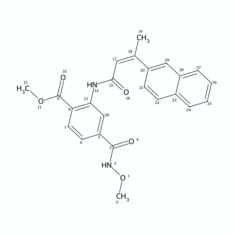 CONC(=O)c1ccc(C(=O)OC)c(NC(=O)/C=C(/C)c2ccc3ccccc3c2)c1